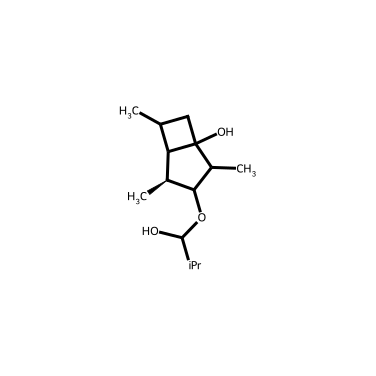 CC(C)C(O)OC1C(C)C2(O)CC(C)C2[C@@H]1C